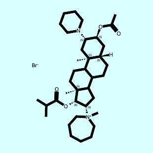 CC(=O)O[C@H]1C[C@@H]2CCC3C4C[C@H]([N+]5(C)CCCCCC5)[C@H](OC(=O)C(C)C)[C@@]4(C)CCC3[C@@]2(C)C[C@@H]1N1CCCCC1.[Br-]